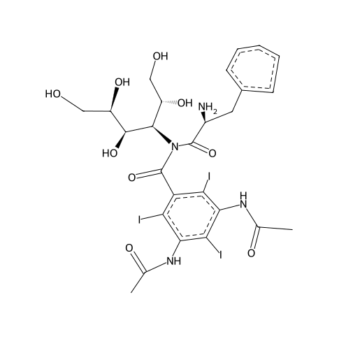 CC(=O)Nc1c(I)c(NC(C)=O)c(I)c(C(=O)N(C(=O)[C@@H](N)Cc2ccccc2)[C@@H]([C@@H](O)[C@H](O)CO)[C@@H](O)CO)c1I